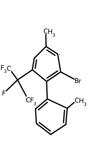 Cc1[c]c(Br)c(-c2ccccc2C)c(C(F)(C(F)(F)F)C(F)(F)F)c1